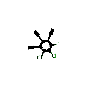 C#Cc1c(Cl)c(Cl)c(Cl)c(C#C)c1C#C